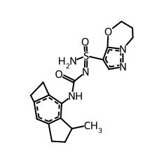 CC1CCc2cc3c(c(NC(=O)N=S(N)(=O)c4cnn5c4OCCC5)c21)CC3